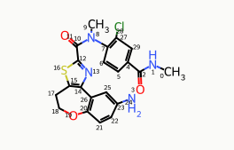 CNC(=O)c1ccc(N(C)C(=O)c2nc3c(s2)CCOc2ccc(N)cc2-3)c(Cl)c1